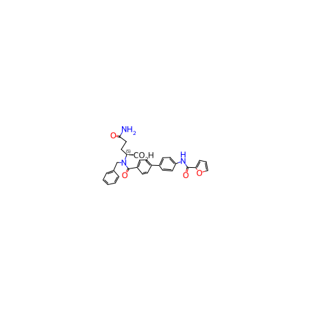 NC(=O)CC[C@@H](C(=O)O)N(Cc1ccccc1)C(=O)c1ccc(-c2ccc(NC(=O)c3ccco3)cc2)cc1